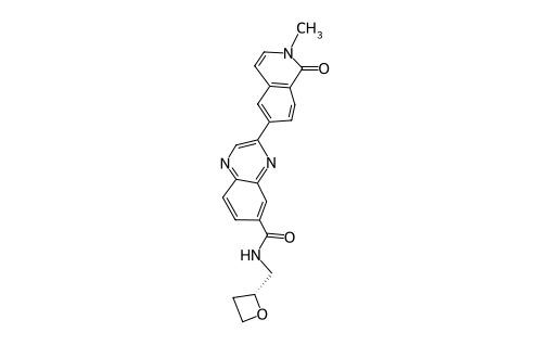 Cn1ccc2cc(-c3cnc4ccc(C(=O)NC[C@H]5CCO5)cc4n3)ccc2c1=O